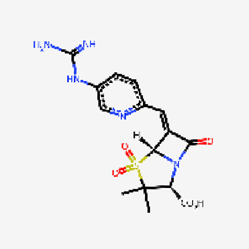 CC1(C)[C@H](C(=O)O)N2C(=O)/C(=C/c3ccc(NC(=N)N)cn3)[C@H]2S1(=O)=O